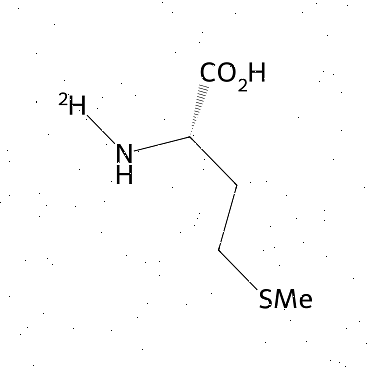 [2H]N[C@@H](CCSC)C(=O)O